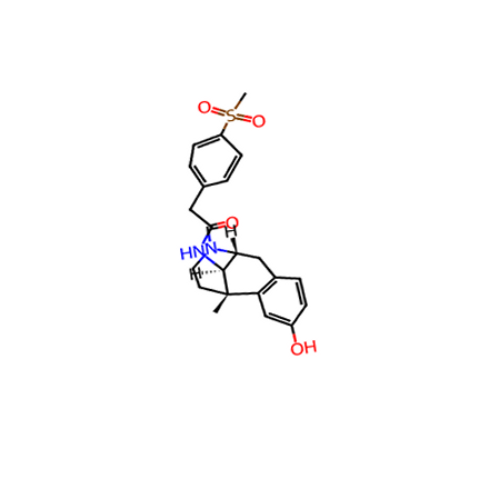 CN1CC[C@@]2(C)c3cc(O)ccc3C[C@@H]1[C@@H]2NC(=O)Cc1ccc(S(C)(=O)=O)cc1